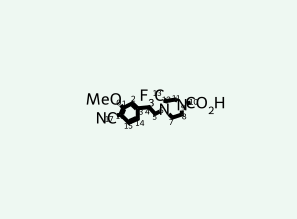 COc1cc(CCN2CCN(C(=O)O)CC2C(F)(F)F)ccc1C#N